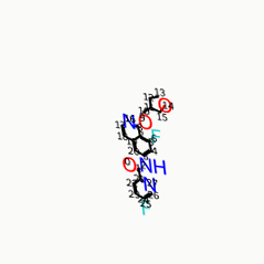 O=C(Nc1cc(F)c2c(OCC3CCOC3)nccc2c1)c1ccc(F)cn1